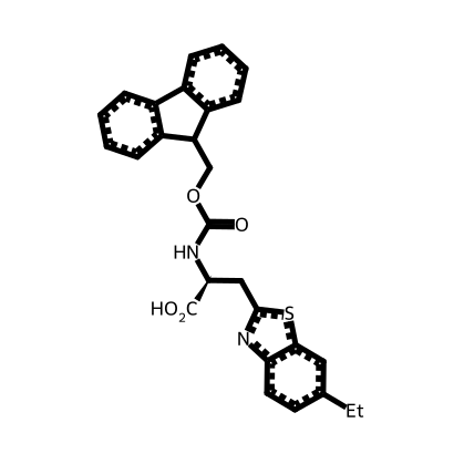 CCc1ccc2nc(C[C@H](NC(=O)OCC3c4ccccc4-c4ccccc43)C(=O)O)sc2c1